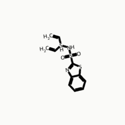 C=C[SH](C=C)NS(=O)(=O)c1nc2ccccc2s1